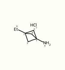 CCC12CC(N)(C1)C2.Cl